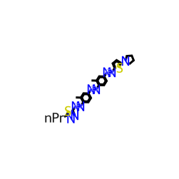 CCCc1nnc(/N=N/c2ccc(/N=N/c3ccc(/N=N/c4ccc(N5CCCC5)s4)cc3C)cc2C)s1